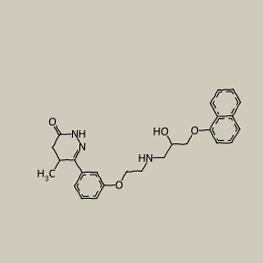 CC1CC(=O)NN=C1c1cccc(OCCNCC(O)COc2cccc3ccccc23)c1